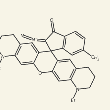 CCN1CCCc2cc3c(cc21)Oc1cc2c(cc1C31C(=[N+]=[N-])C(=O)c3ccc(C)cc31)CCCN2CC